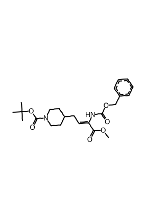 COC(=O)C(=CCC1CCN(C(=O)OC(C)(C)C)CC1)NC(=O)OCc1ccccc1